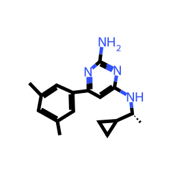 Cc1cc(C)cc(-c2cc(N[C@H](C)C3CC3)nc(N)n2)c1